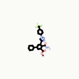 COC(=O)c1cc(-c2ccccc2)cc(-c2cn(-c3ccc(C(F)(F)F)cc3)nn2)c1C(N)=O